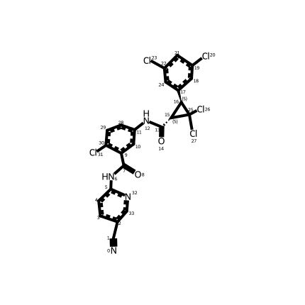 N#Cc1ccc(NC(=O)c2cc(NC(=O)[C@@H]3[C@@H](c4cc(Cl)cc(Cl)c4)C3(Cl)Cl)ccc2Cl)nc1